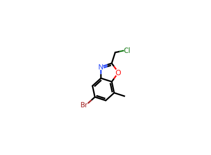 Cc1cc(Br)cc2nc(CCl)oc12